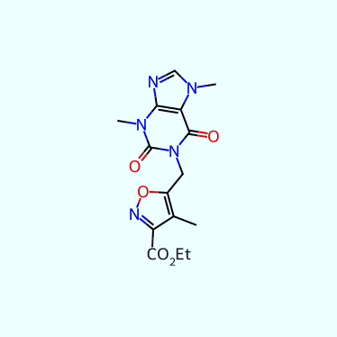 CCOC(=O)c1noc(Cn2c(=O)c3c(ncn3C)n(C)c2=O)c1C